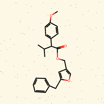 COc1ccc(C(C(=O)OCc2coc(Cc3ccccc3)c2)C(C)C)cc1